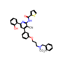 N#Cc1c(-c2cccc(OCCCN(Cc3ccccc3)C(=O)O)c2)cc(-c2ccccc2O)nc1NC(=O)c1cccs1